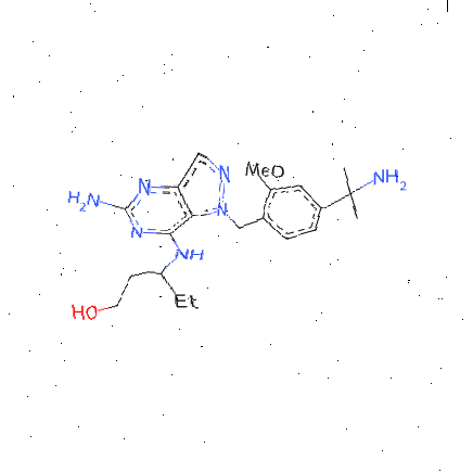 CCC(CCO)Nc1nc(N)nc2cnn(Cc3ccc(C(C)(C)N)cc3OC)c12